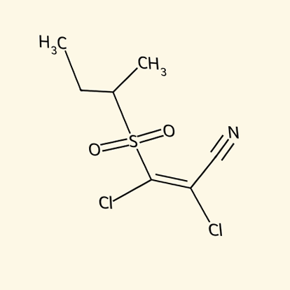 CCC(C)S(=O)(=O)/C(Cl)=C(/Cl)C#N